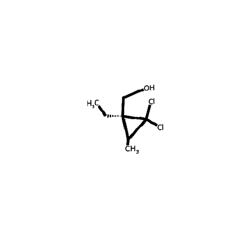 CC[C@@]1(CO)C(C)C1(Cl)Cl